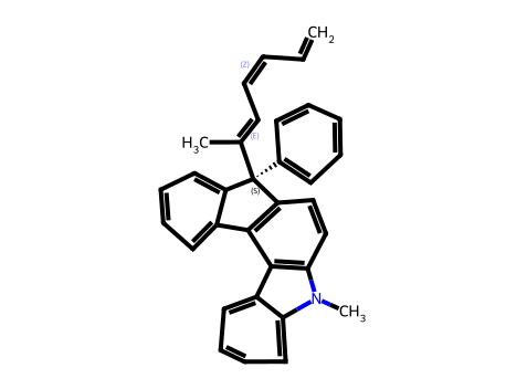 C=C/C=C\C=C(/C)[C@]1(c2ccccc2)c2ccccc2-c2c1ccc1c2c2ccccc2n1C